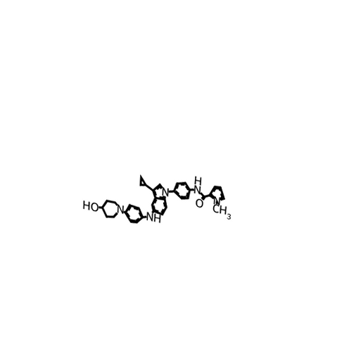 Cn1cccc1C(=O)Nc1ccc(-n2cc(C3CC3)c3cc(Nc4ccc(N5CCC(O)CC5)cc4)ccc32)cc1